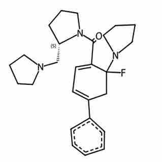 O=C(C1=CC=C(c2ccccc2)CC1(F)N1CCCC1)N1CCC[C@H]1CN1CCCC1